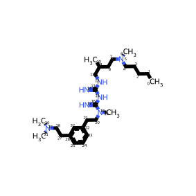 CCCCCN(C)CCC(C)CNC(=N)NC(=N)N(C)CCc1cccc(CCN(C)C)c1